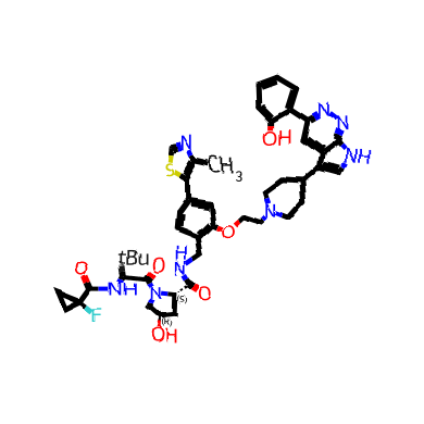 Cc1ncsc1-c1ccc(CNC(=O)[C@@H]2C[C@@H](O)CN2C(=O)C(NC(=O)C2(F)CC2)C(C)(C)C)c(OCCN2CCC(c3c[nH]c4nnc(-c5ccccc5O)cc34)CC2)c1